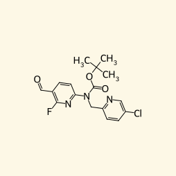 CC(C)(C)OC(=O)N(Cc1ccc(Cl)cn1)c1ccc(C=O)c(F)n1